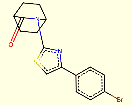 O=C1C2CCC(CC2)N1c1nc(-c2ccc(Br)cc2)cs1